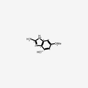 COc1ccc2nc(N)[nH]c2c1.Cl